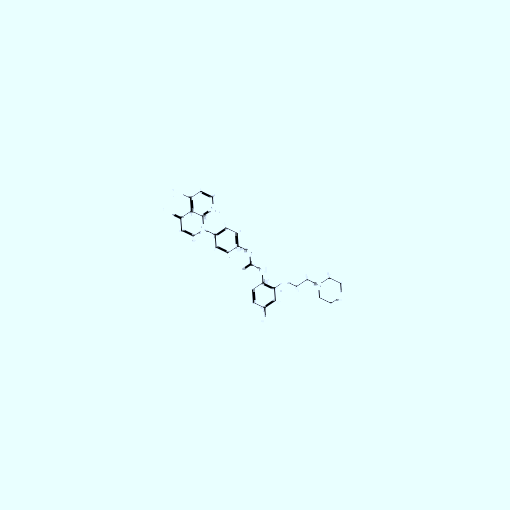 Cc1ccnc2c1c(=O)ccn2-c1ccc(NC(=O)Nc2ccc(F)cc2OCCN2CCOCC2)cc1